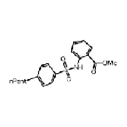 CCCCCc1ccc(S(=O)(=O)Nc2ccccc2C(=O)OC)cc1